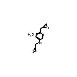 O.c1cc(NCC2CO2)ccc1CC1CO1